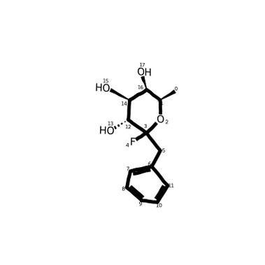 C[C@H]1OC(F)(Cc2ccccc2)[C@H](O)[C@@H](O)[C@H]1O